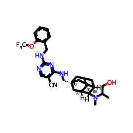 CC(CO)N(C)[C@@H]1[C@@H]2CC3C[C@H]1C[C@](CNc1nc(NCc4ccccc4OC(F)(F)F)ncc1C#N)(C3)C2